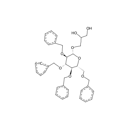 OCC(O)CO[C@@H]1O[C@H](COCc2ccccc2)[C@@H](OCc2ccccc2)[C@H](OCc2ccccc2)[C@H]1OCc1ccccc1